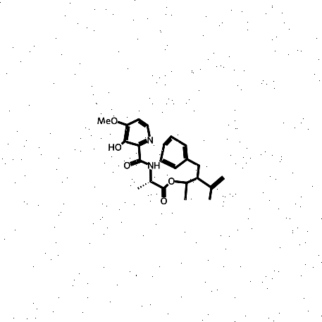 C=C(C)C(Cc1ccccc1)C(C)OC(=O)[C@H](C)NC(=O)c1nccc(OC)c1O